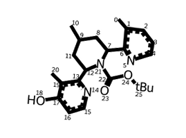 Cc1cccnc1C1CC(C)CC(c2nccc(O)c2C)N1C(=O)OC(C)(C)C